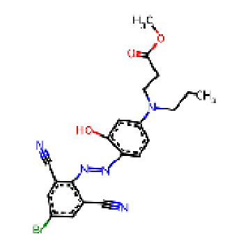 CCCN(CCC(=O)OC)c1ccc(/N=N/c2c(C#N)cc(Br)cc2C#N)c(O)c1